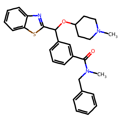 CN1CCC(OC(c2cccc(C(=O)N(C)Cc3ccccc3)c2)c2nc3ccccc3s2)CC1